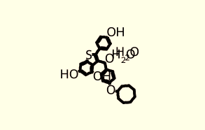 O.O.O=C(c1ccc(OC2CCCCCCC2)cc1)c1c(-c2ccc(O)cc2)sc2cc(O)cc(O)c12